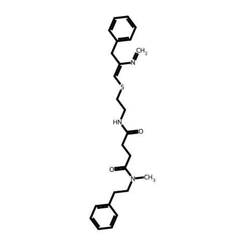 C=N/C(=C\SCCNC(=O)CCC(=O)N(C)CCc1ccccc1)Cc1ccccc1